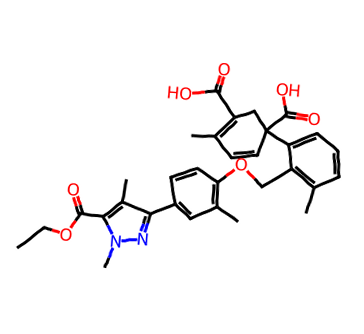 CCOC(=O)c1c(C)c(-c2ccc(OCc3c(C)cccc3C3(C(=O)O)C=CC(C)=C(C(=O)O)C3)c(C)c2)nn1C